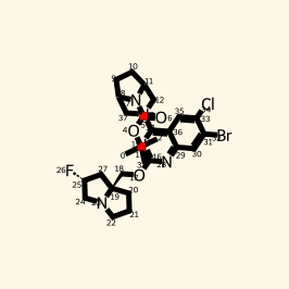 CC(C)(C)OC(=O)N1C2CCC1CN(c1nc(OC[C@@]34CCCN3C[C@H](F)C4)nc3cc(Br)c(Cl)cc13)C2